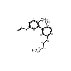 C=CCc1ccc(O)c(-c2cc(CCCS(=O)(=O)O)ccc2O)c1